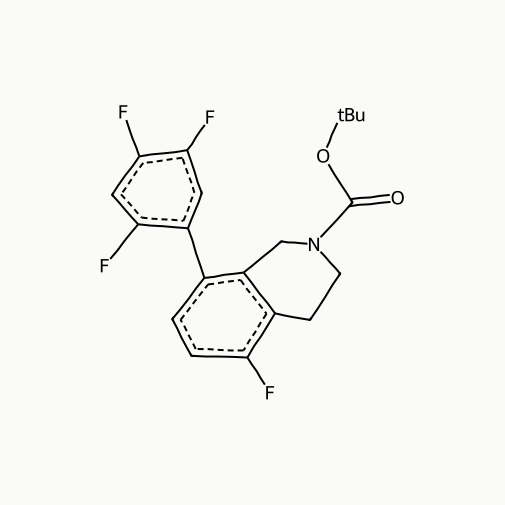 CC(C)(C)OC(=O)N1CCc2c(F)ccc(-c3cc(F)c(F)cc3F)c2C1